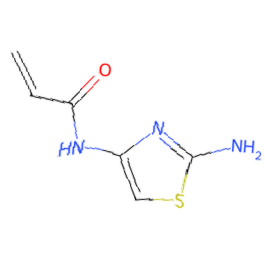 C=CC(=O)Nc1csc(N)n1